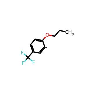 CCCOc1[c]cc(C(F)(F)F)cc1